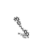 CC(O)OCn1c(=O)ccc2ccc(OCCCCN3CCN(c4cccc5sccc45)CC3)cc21